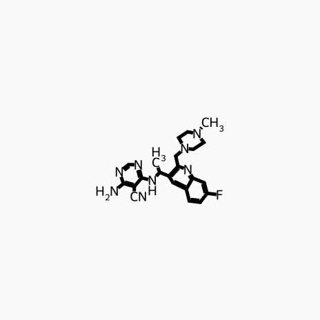 CC(Nc1ncnc(N)c1C#N)c1cc2ccc(F)cc2nc1CN1CCN(C)CC1